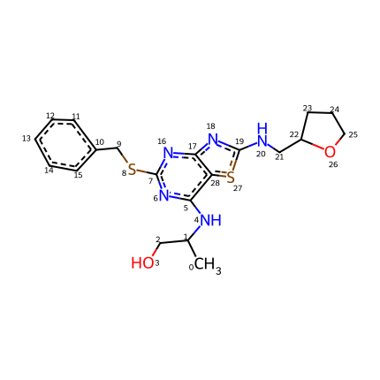 CC(CO)Nc1nc(SCc2ccccc2)nc2nc(NCC3CCCO3)sc12